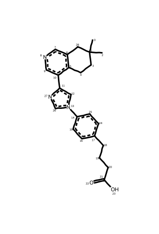 CC1(C)CCc2c(cncc2-c2cn(-c3ccc(CCCC(=O)O)cc3)cn2)C1